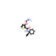 C#CC1(NC(=O)c2sccc2OCN)CCCCC1